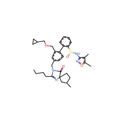 CCCCC1=NC2(CCC(C)C2)C(=O)N1Cc1ccc(-c2ccccc2[S+]([O-])Nc2noc(C)c2C)c(COCC2CC2)c1